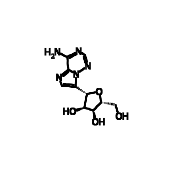 Nc1ncnn2c([C@@H]3O[C@H](CO)[C@@H](O)[C@H]3O)cnc12